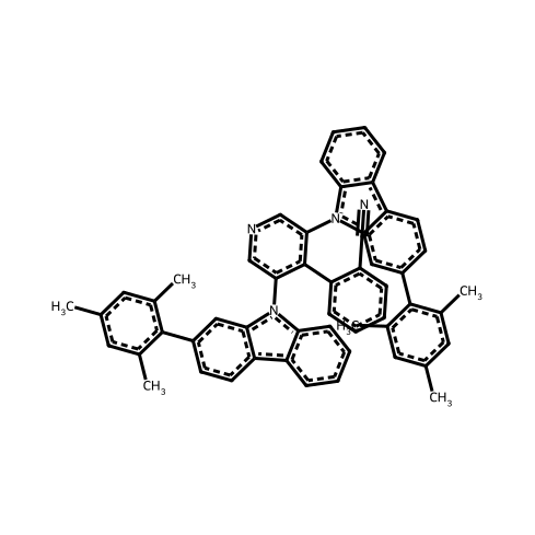 Cc1cc(C)c(-c2ccc3c4ccccc4n(-c4cncc(-n5c6ccccc6c6ccc(-c7c(C)cc(C)cc7C)cc65)c4-c4ccccc4C#N)c3c2)c(C)c1